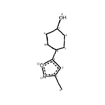 Cc1cc(C2CCC(O)CC2)on1